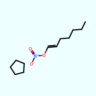 C1CCCC1.CCCCCC=CO[N+](=O)[O-]